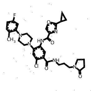 Cc1ccc(F)cc1N1CCN(c2cc(Cl)c(C(=O)NCCCN3CCCC3=O)cc2NC(=O)c2coc(C3CC3)n2)CC1